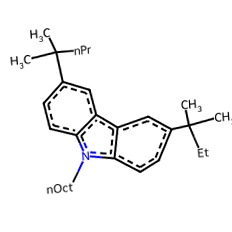 CCCCCCCCn1c2ccc(C(C)(C)CC)cc2c2cc(C(C)(C)CCC)ccc21